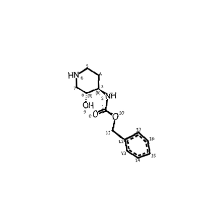 O=C(N[C@@H]1CCNC[C@H]1O)OCc1ccccc1